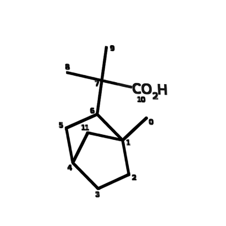 CC12CCC(CC1C(C)(C)C(=O)O)C2